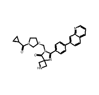 O=C(C1CC1)N1CC[C@@H](CN2C(=O)C3(CNC3)N=C2c2ccc(-c3ccc4cccnc4c3)cc2)C1